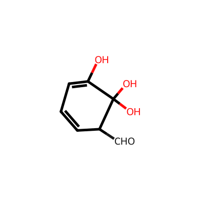 O=CC1C=CC=C(O)C1(O)O